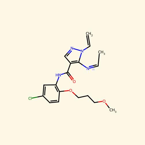 C=Cn1ncc(C(=O)Nc2cc(Cl)ccc2OCCCOC)c1/N=C\C